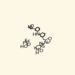 CC1(C)Cc2nc(N3CCOCC3Cc3cccc(Nc4cccc(-c5ccno5)c4)c3)sc2C(=O)N1.O=C(O)C(F)(F)F